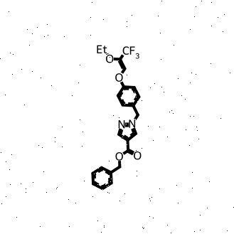 CCO/C(=C\Oc1ccc(Cn2cc(C(=O)OCc3ccccc3)cn2)cc1)C(F)(F)F